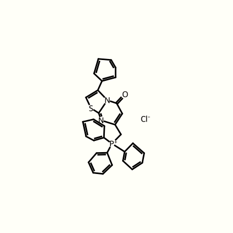 O=c1cc(C[P+](c2ccccc2)(c2ccccc2)c2ccccc2)nc2scc(-c3ccccc3)n12.[Cl-]